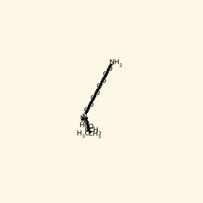 CC(C)(C)OC(=O)NCc1cn(CCOCCOCCOCCOCCOCCOCCOCCOCCN)nn1